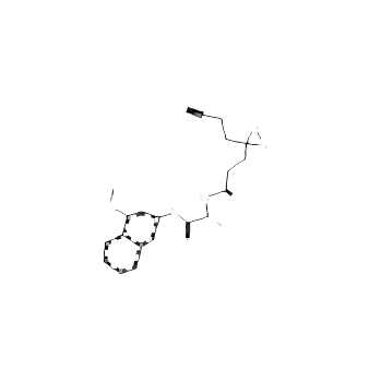 C#CCCC1(CCC(=O)N[C@@H](C)C(=O)Nc2cc(OC)c3ccccc3c2)NN1